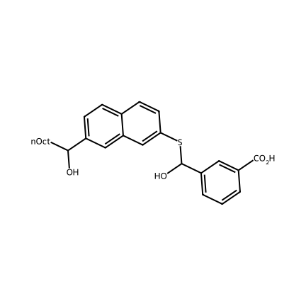 CCCCCCCCC(O)c1ccc2ccc(SC(O)c3cccc(C(=O)O)c3)cc2c1